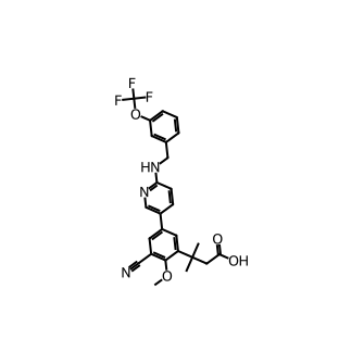 COc1c(C#N)cc(-c2ccc(NCc3cccc(OC(F)(F)F)c3)nc2)cc1C(C)(C)CC(=O)O